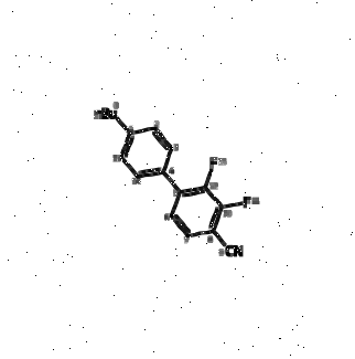 CCCCc1ccc(-c2ccc(C#N)c(F)c2F)cc1